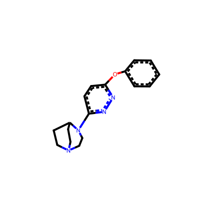 c1ccc(Oc2ccc(N3CCN4CCC3CC4)nn2)cc1